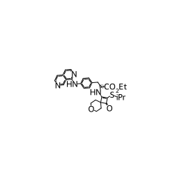 CCOC(=O)[C@H](Cc1ccc(Nc2nccc3ccncc23)cc1)NC1=C(SC(C)C)C(=O)C12CCOCC2